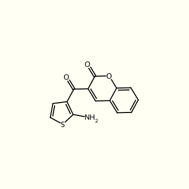 Nc1sccc1C(=O)c1cc2ccccc2oc1=O